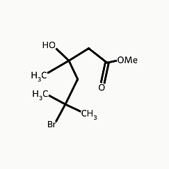 COC(=O)CC(C)(O)CC(C)(C)Br